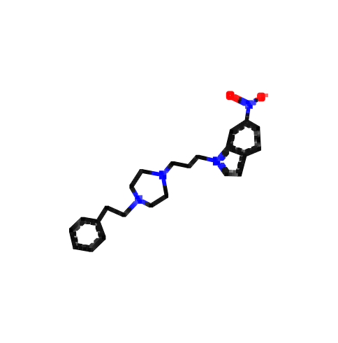 O=[N+]([O-])c1ccc2ccn(CCCN3CCN(CCc4ccccc4)CC3)c2c1